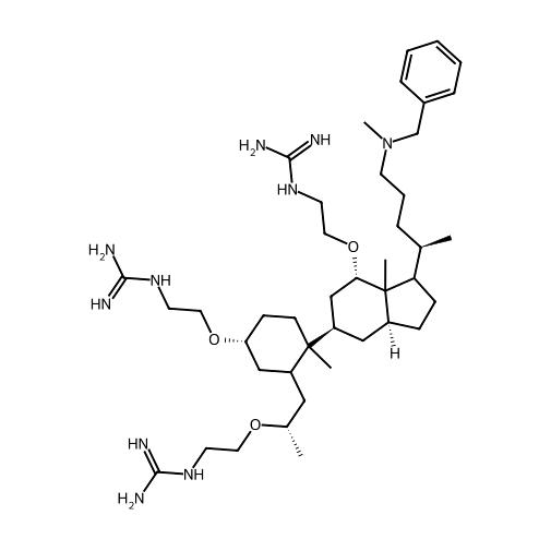 C[C@H](CCCN(C)Cc1ccccc1)C1CC[C@H]2C[C@@H](C3(C)CC[C@@H](OCCNC(=N)N)CC3C[C@H](C)OCCNC(=N)N)C[C@H](OCCNC(=N)N)C12C